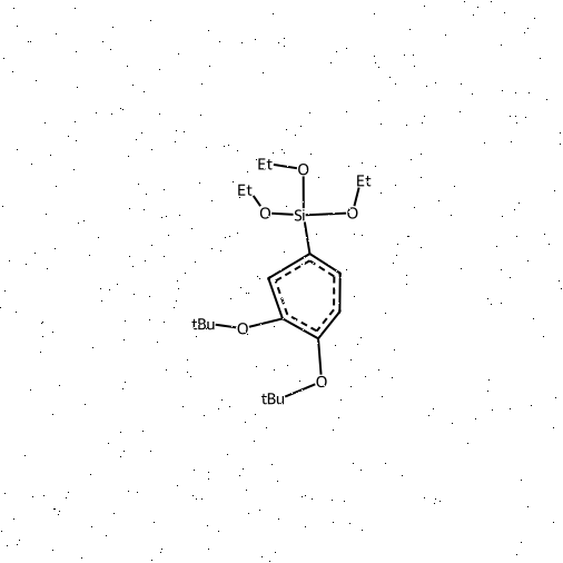 CCO[Si](OCC)(OCC)c1ccc(OC(C)(C)C)c(OC(C)(C)C)c1